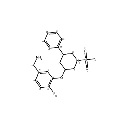 CS(=O)(=O)N1CC(Oc2cc(CN)ccc2F)CC(c2ccccc2)C1